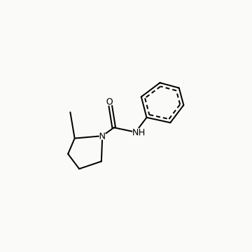 CC1CCCN1C(=O)Nc1ccccc1